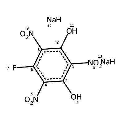 O=[N+]([O-])c1c(O)c([N+](=O)[O-])c(F)c([N+](=O)[O-])c1O.[NaH].[NaH]